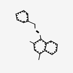 Oc1cc(O)c2ccccc2c1N=NCc1ccccc1